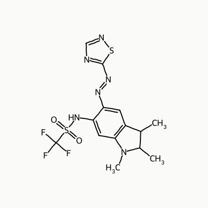 CC1c2cc(N=Nc3ncns3)c(NS(=O)(=O)C(F)(F)F)cc2N(C)C1C